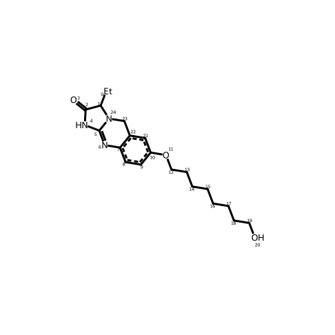 CCC1C(=O)NC2=Nc3ccc(OCCCCCCCCO)cc3CN21